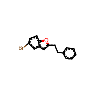 Brc1ccc2oc(CCc3ccccc3)cc2c1